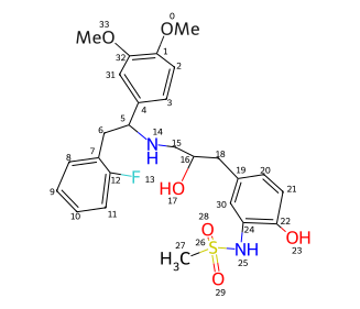 COc1ccc(C(Cc2ccccc2F)NCC(O)Cc2ccc(O)c(NS(C)(=O)=O)c2)cc1OC